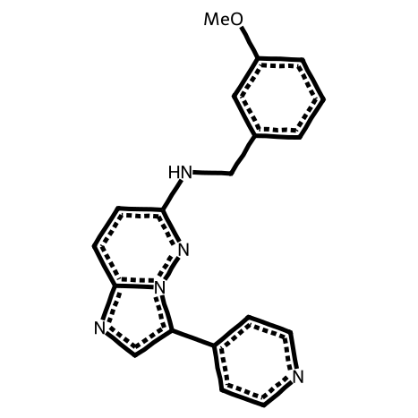 COc1cccc(CNc2ccc3ncc(-c4ccncc4)n3n2)c1